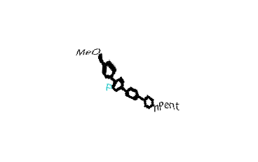 CCCCCC1CCC(c2ccc(-c3ccc(-c4ccc(CCOC)cc4)c(F)c3)cc2)CC1